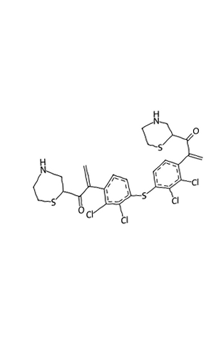 C=C(C(=O)C1CNCCS1)c1ccc(Sc2ccc(C(=C)C(=O)C3CNCCS3)c(Cl)c2Cl)c(Cl)c1Cl